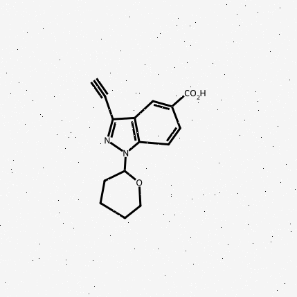 C#Cc1nn(C2CCCCO2)c2ccc(C(=O)O)cc12